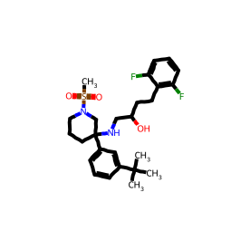 CC(C)(C)c1cccc(C2(NCC(O)CCc3c(F)cccc3F)CCCN(S(C)(=O)=O)C2)c1